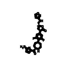 Nc1ccn(C(=O)N2CCN(c3c(F)cc(N4C[C@H](CNc5ccon5)OC4=O)cc3F)CCN2)n1